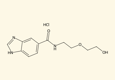 Cl.O=C(NCCOCCO)c1ccc2[nH]cnc2c1